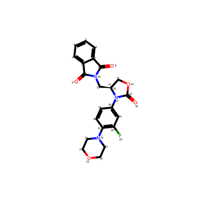 O=C1c2ccccc2C(=O)N1C[C@H]1COC(=O)N1c1ccc(N2CCOCC2)c(F)c1